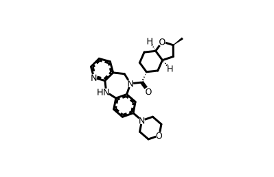 C[C@H]1C[C@H]2C[C@H](C(=O)N3Cc4cccnc4Nc4ccc(N5CCOCC5)cc43)CC[C@H]2O1